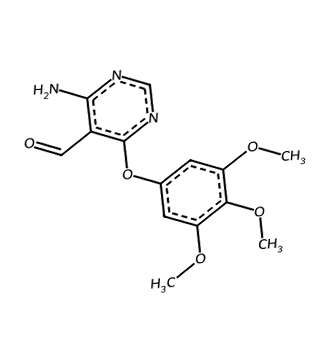 COc1cc(Oc2ncnc(N)c2C=O)cc(OC)c1OC